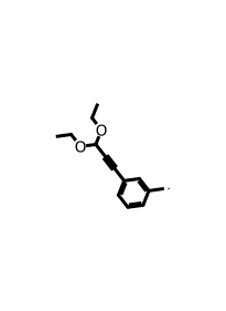 [CH2]c1cccc(C#CC(OCC)OCC)c1